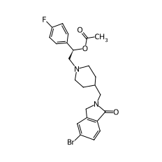 CC(=O)O[C@@H](CN1CCC(CN2Cc3cc(Br)ccc3C2=O)CC1)c1ccc(F)cc1